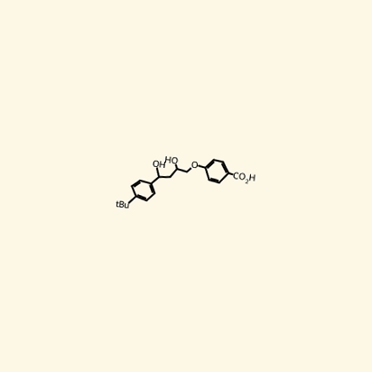 CC(C)(C)c1ccc(C(O)CC(O)COc2ccc(C(=O)O)cc2)cc1